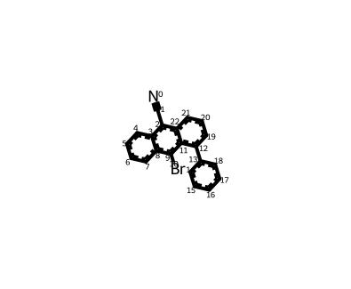 N#Cc1c2ccccc2c(Br)c2c(-c3ccccc3)cccc12